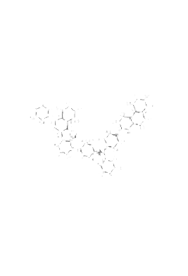 c1ccc(-c2cc3c4cccc(-c5ccc(N(c6ccccc6)c6ccc(-c7ccc8c(ccc9ccccc98)c7)cc6)cc5)c4oc3c3ccccc23)cc1